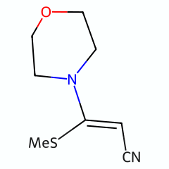 CSC(=CC#N)N1CCOCC1